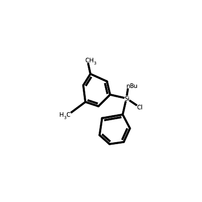 CCCC[Si](Cl)(c1ccccc1)c1cc(C)cc(C)c1